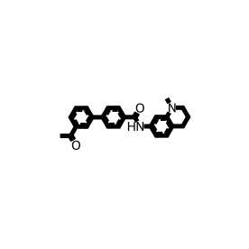 CC(=O)c1cccc(-c2ccc(C(=O)Nc3ccc4c(c3)N(C)CCC4)cc2)c1